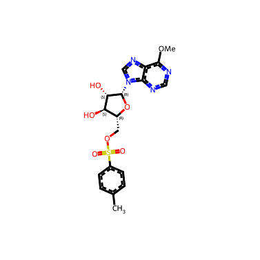 COc1ncnc2c1ncn2[C@@H]1O[C@H](COS(=O)(=O)c2ccc(C)cc2)[C@@H](O)[C@@H]1O